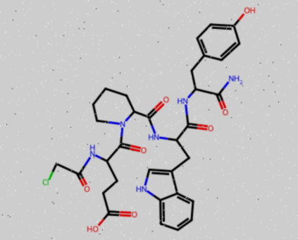 NC(=O)C(Cc1ccc(O)cc1)NC(=O)C(Cc1c[nH]c2ccccc12)NC(=O)C1CCCCN1C(=O)C(CCC(=O)O)NC(=O)CCl